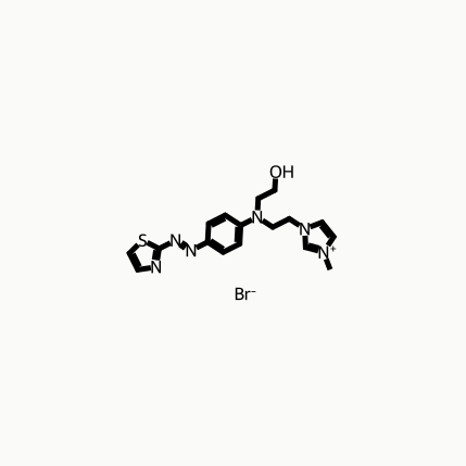 C[n+]1ccn(CCN(CCO)c2ccc(/N=N/c3nccs3)cc2)c1.[Br-]